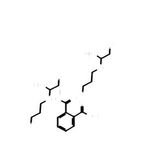 CCCCOC(O)CO.CCCCOC(O)CO.O=C(O)c1ccccc1C(=O)O